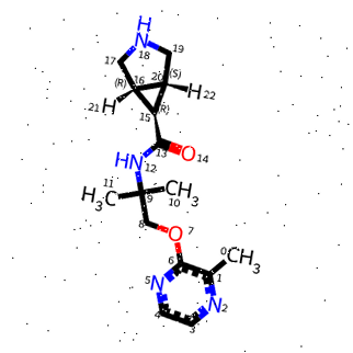 Cc1nccnc1OCC(C)(C)NC(=O)[C@H]1[C@@H]2CNC[C@@H]21